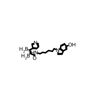 B[C@H](C(=O)NCCCCCCn1ccc2cc(O)ccc21)[C@H](B)c1cccnc1